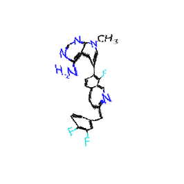 Cn1cc(-c2ccc3cc(Cc4ccc(F)c(F)c4)ncc3c2F)c2c(N)ncnc21